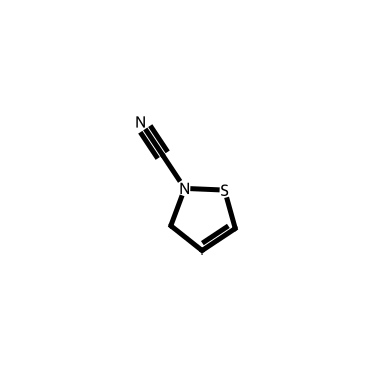 N#CN1C[C]=CS1